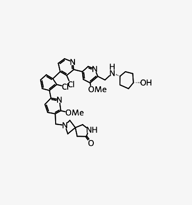 COc1cc(-c2nccc(-c3cccc(-c4ccc(CN5CC6(CNC(=O)C6)C5)c(OC)n4)c3Cl)c2Cl)cnc1CN[C@H]1CC[C@@H](O)CC1